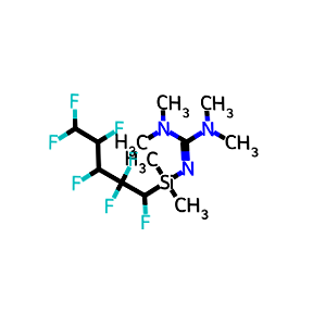 CN(C)C(=N[Si](C)(C)C(F)C(F)(F)C(F)C(F)C(F)F)N(C)C